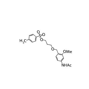 COc1cc(NC(C)=O)ccc1COCCCOS(=O)(=O)c1ccc(C)cc1